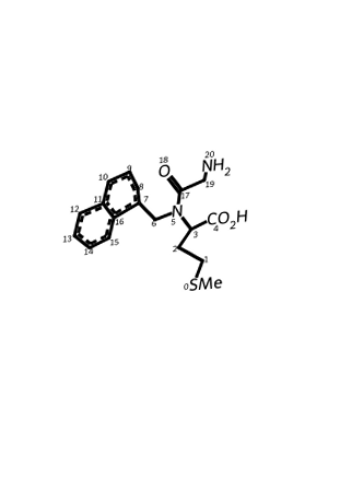 CSCCC(C(=O)O)N(Cc1cccc2ccccc12)C(=O)CN